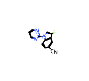 N#Cc1ccc2c(c1)c(F)cn2-c1ncccn1